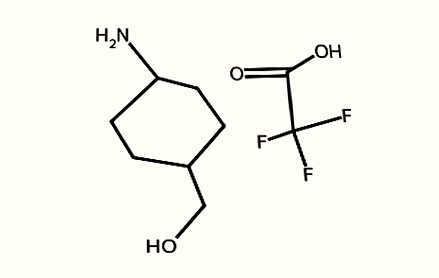 NC1CCC(CO)CC1.O=C(O)C(F)(F)F